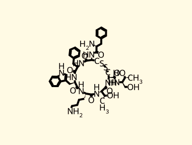 C[C@@H](O)[C@@H]1NC(=O)[C@H](CCCCN)NC(=O)[C@@H](Cc2c[nH]c3ccccc23)NC(=O)C(Cc2ccccc2)NC(=O)[C@@H](NC(=O)[C@H](N)Cc2ccccc2)CSSC[C@@H](C(=O)N[C@H](CO)[C@@H](C)O)NC1=O